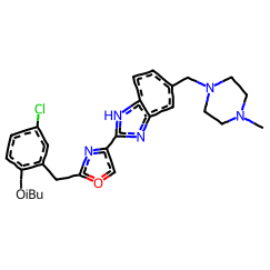 CC(C)COc1ccc(Cl)cc1Cc1nc(-c2nc3cc(CN4CCN(C)CC4)ccc3[nH]2)co1